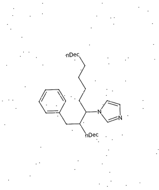 CCCCCCCCCCCCCCC(C(CCCCCCCCCC)Cc1ccccc1)n1ccnc1